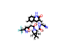 Cc1ccc2[nH]c(=O)c(C[C@@H](C#N)NC(=O)[C@@H]3[C@@H]4[C@H](CN3C(=O)Cc3cc(C(F)(F)F)no3)C4(C)C)cc2c1